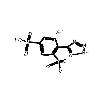 O=S(=O)([O-])c1cc(S(=O)(=O)O)ccc1-c1nn[nH]n1.[Na+]